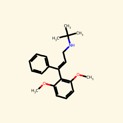 COc1cccc(OC)c1C(=CCNC(C)(C)C)c1ccccc1